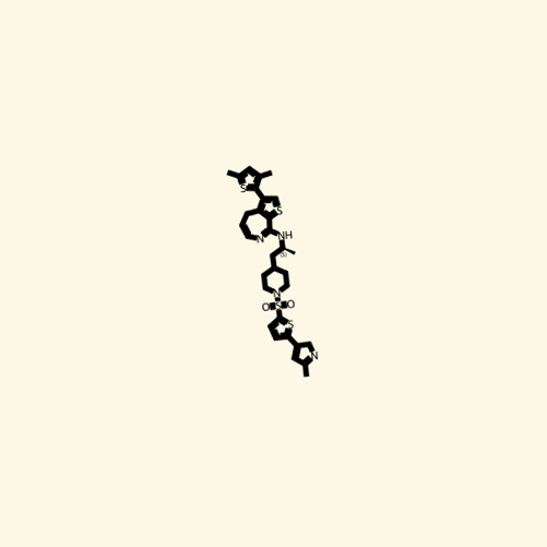 CC1=NCC(c2ccc(S(=O)(=O)N3CCC(C[C@H](C)NC4=NC=CCc5c(-c6sc(C)cc6C)csc54)CC3)s2)=C1